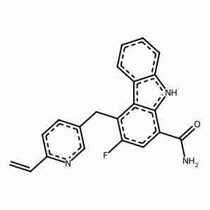 C=Cc1ccc(Cc2c(F)cc(C(N)=O)c3[nH]c4ccccc4c23)cn1